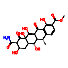 COC(=O)c1ccc2c(c1O)C(=O)C1=C(O)C3(O)C(=O)C(C(N)=O)C(O)CC3[C@@H](O)C1[C@H]2C